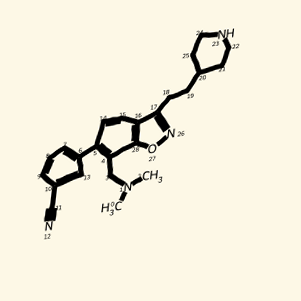 CN(C)Cc1c(-c2cccc(C#N)c2)ccc2c(CCC3CCNCC3)noc12